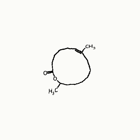 C/C1=C/CCCCC(=O)OC(C)CCCCCC1